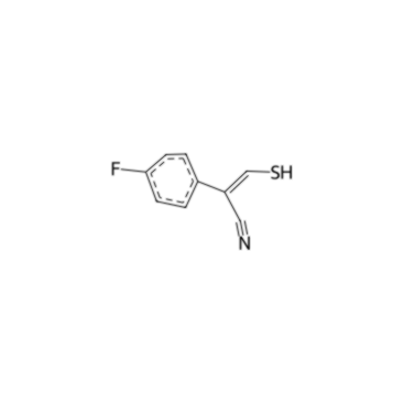 N#C/C(=C\S)c1ccc(F)cc1